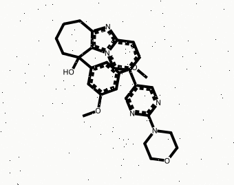 COc1cc(OC)cc(C2(O)CCCCc3nc4ccc(-c5cnc(N6CCOCC6)nc5)cn4c32)c1